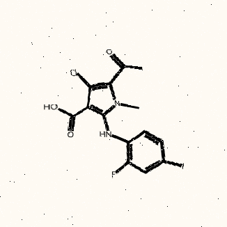 CC(=O)c1c(Cl)c(C(=O)O)c(Nc2ccc(I)cc2F)n1C